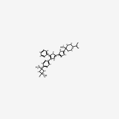 CC(C)N1CCC(O)(c2ncc(-c3nc(-c4ccc(C5(N)CC(C)(O)C5)cc4)c(-c4ccccc4)s3)s2)CC1